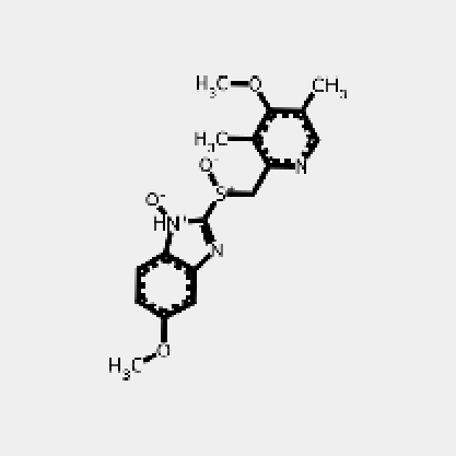 COc1ccc2c(c1)N=C([S+]([O-])Cc1ncc(C)c(OC)c1C)[NH+]2[O-]